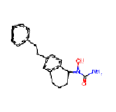 NC(=O)N(O)C1CCCc2cc(CCc3ccccc3)ccc21